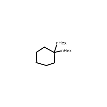 CCCCCCC1(CCCCCC)CC[CH]CC1